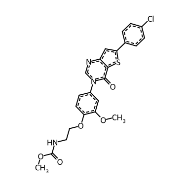 COC(=O)NCCOc1ccc(-n2cnc3cc(-c4ccc(Cl)cc4)sc3c2=O)cc1OC